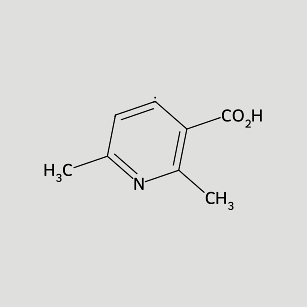 Cc1c[c]c(C(=O)O)c(C)n1